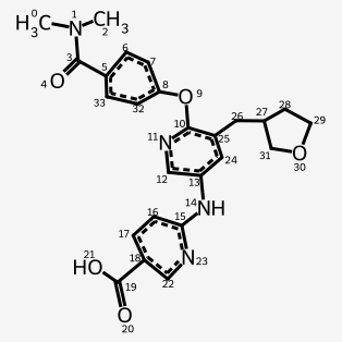 CN(C)C(=O)c1ccc(Oc2ncc(Nc3ccc(C(=O)O)cn3)cc2CC2CCOC2)cc1